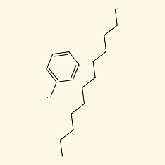 [CH2]CCCCCCCCCCC.[CH2]c1ccccc1